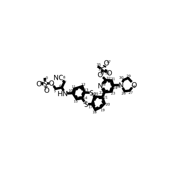 CS(=O)(=O)OCC(CC#N)Nc1ccc2c(c1)Sc1cccc(-c3cc(N4CCOCC4)cc(OS(C)(=O)=O)n3)c1S2